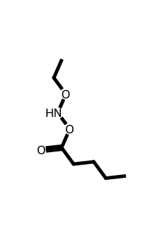 CCCCC(=O)ONOCC